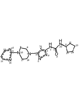 O=C(Nc1nnc(N2CCN(c3ncccn3)CC2)s1)NC1CCCC1